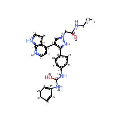 CCNC(=O)Cn1cc(-c2ccnc3[nH]ccc23)c(-c2ccc(NC(O)NC3=CCCC=C3)cc2)n1